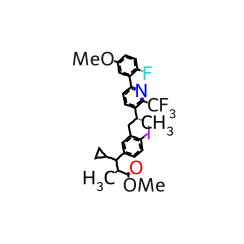 COC(=O)[C@@H](C)C(c1ccc(I)c(C[C@@H](C)c2ccc(-c3cc(OC)ccc3F)nc2C(F)(F)F)c1)C1CC1